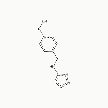 COc1ccc(CNc2nncs2)cc1